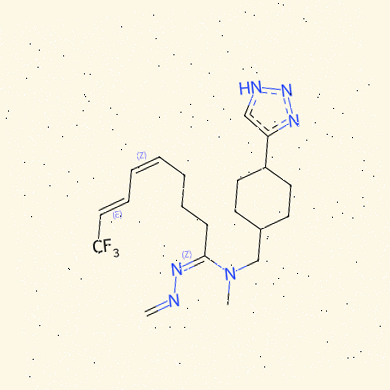 C=N/N=C(/CCC/C=C\C=C\C(F)(F)F)N(C)CC1CCC(c2c[nH]nn2)CC1